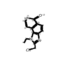 CCn1c(CCl)nc2ccc3c(=O)[nH]ccc3c21